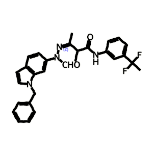 C/C(=N/N(C=O)c1ccc2ccn(Cc3ccccc3)c2c1)C(C)C(=O)Nc1cccc(C(C)(F)F)c1